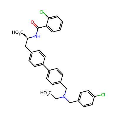 O=C(O)CN(Cc1ccc(Cl)cc1)Cc1ccc(-c2ccc(C[C@H](NC(=O)c3ccccc3Cl)C(=O)O)cc2)cc1